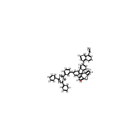 N#Cc1cccc2c(-c3ccc4c(c3)-c3cc(-c5cccc(-c6nc(-c7ccccc7)nc(-c7ccccc7)n6)c5)ccc3C43c4ccccc4Oc4ccccc43)cccc12